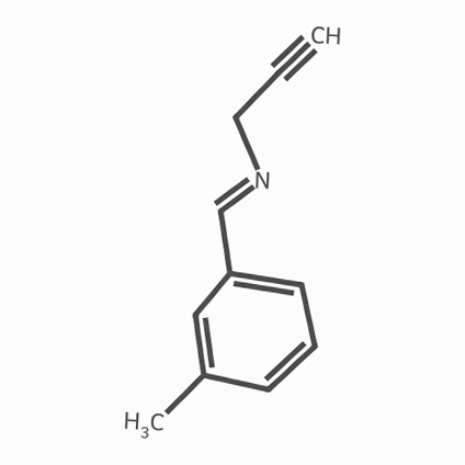 C#CCN=Cc1cccc(C)c1